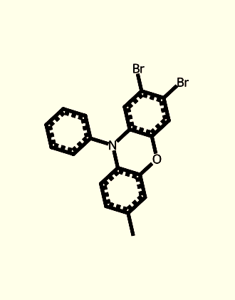 Cc1ccc2c(c1)Oc1cc(Br)c(Br)cc1N2c1ccccc1